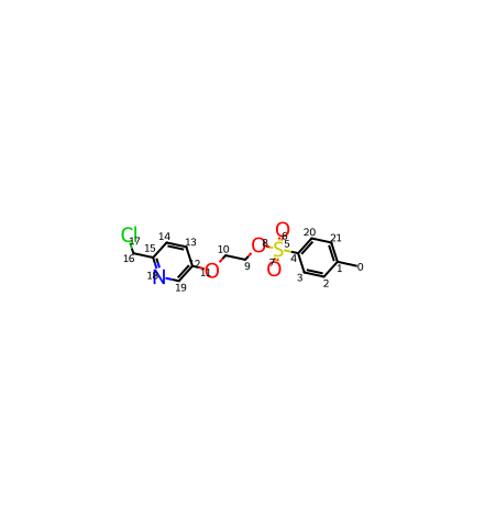 Cc1ccc(S(=O)(=O)OCCOc2ccc(CCl)nc2)cc1